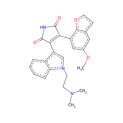 COc1cc(C2=C(c3cn(CCN(C)C)c4ccccc34)C(=O)NC2=O)c2occc2c1